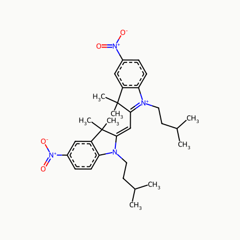 CC(C)CCN1/C(=C/C2=[N+](CCC(C)C)c3ccc([N+](=O)[O-])cc3C2(C)C)C(C)(C)c2cc([N+](=O)[O-])ccc21